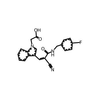 N#CC(=Cc1cn(CC(=O)O)c2ccccc12)C(=O)NCc1ccc(F)cc1